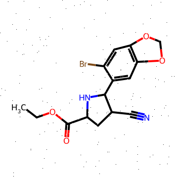 CCOC(=O)C1CC(C#N)C(c2cc3c(cc2Br)OCO3)N1